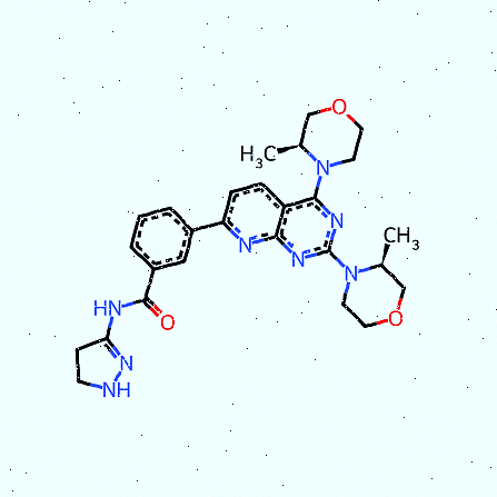 C[C@H]1COCCN1c1nc(N2CCOC[C@@H]2C)c2ccc(-c3cccc(C(=O)NC4=NNCC4)c3)nc2n1